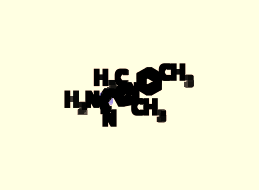 Cc1ccc(-n2c(C)cc(/C=C(/N)C#N)c2C)cc1